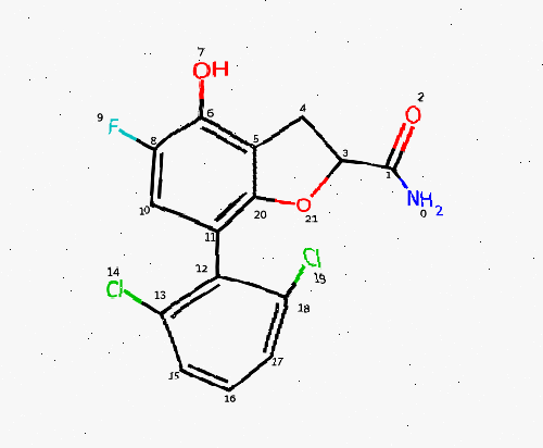 NC(=O)C1Cc2c(O)c(F)cc(-c3c(Cl)cccc3Cl)c2O1